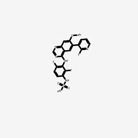 CCCOc1cc2ncnc(Nc3c(F)ccc(NS(=O)(=O)CCC)c3F)c2cc1-c1cccnc1F